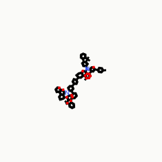 Cc1ccc(-c2ccc(N(c3ccc4c(c3)C(C)(C)c3ccccc3-4)c3cc4ccc(-c5ccc(-c6ccc(N(c7ccc8c(c7)C(C)(C)c7ccccc7-8)c7cc8ccccc8c8ccccc78)c(-c7ccccc7)c6)cc5)cc4c4ccccc34)c(-c3ccc(C)cc3)c2)cc1